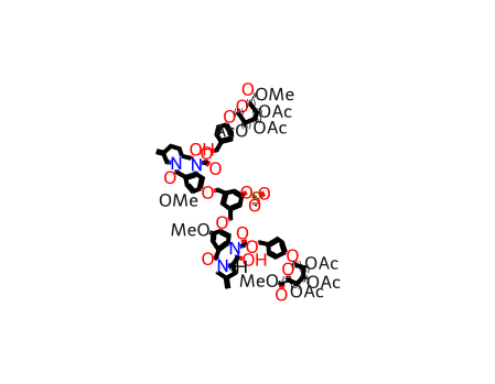 C=C1CCC2C(O)N(C(=O)OCc3ccc(O[C@@H]4O[C@H](C(=O)OC)[C@@H](OC(C)=O)[C@H](OC(C)=O)[C@H]4OC(C)=O)cc3)c3cc(OCc4cc(COc5cc6c(cc5OC)C(=O)N5CC(=C)C[C@H]5C(O)N6C(=O)OCc5ccc(O[C@@H]6O[C@H](C(=O)OC)[C@@H](OC(C)=O)[C@H](OC(C)=O)[C@H]6OC(C)=O)cc5)cc(O[S](=O)=O)c4)c(OC)cc3C(=O)N2C1